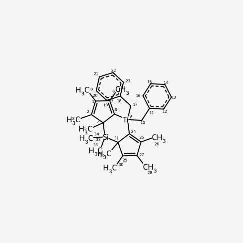 CC1=C(C)C2(C)[C](=C1C)[Ti]([CH2]c1ccccc1)([CH2]c1ccccc1)[C]1=C(C)C(C)=C(C)C1(C)[Si]2(C)C